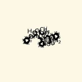 CC(C)C1C(=O)N(CC(=O)[C@@H](Cc2ccccc2)C(N)(O)C(=O)O)C(c2ccccc2)=CN1C(=O)COc1ccccc1